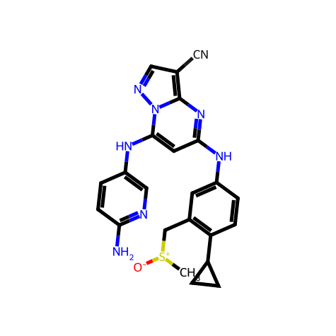 C[S+]([O-])Cc1cc(Nc2cc(Nc3ccc(N)nc3)n3ncc(C#N)c3n2)ccc1C1CC1